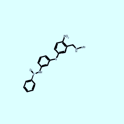 CCCNCc1cc(Sc2cccc(N[S+]([O-])c3ccccc3)c2)ccc1[N+](=O)[O-]